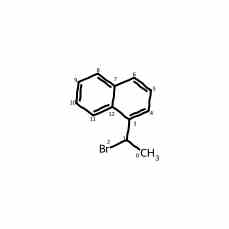 CC(Br)c1cccc2ccccc12